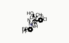 CCN(C(=O)CO)C1CN(/C(=N\C#N)Nc2cccc(OC(F)(F)F)c2)N=C1c1ccc(Cl)c(F)c1